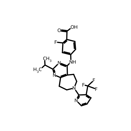 CC(C)c1nc2c(c(Nc3ccc(C(=O)O)c(F)c3)n1)CCN(c1ncccc1C(F)(F)F)CC2